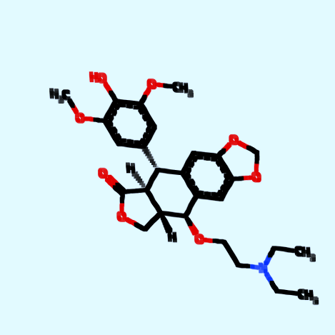 CCN(CC)CCO[C@@H]1c2cc3c(cc2[C@@H](c2cc(OC)c(O)c(OC)c2)[C@@H]2C(=O)OC[C@H]21)OCO3